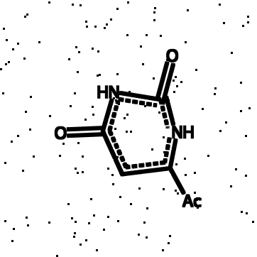 CC(=O)c1cc(=O)[nH]c(=O)[nH]1